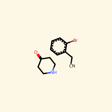 N#CCc1ccccc1Br.O=C1CCNCC1